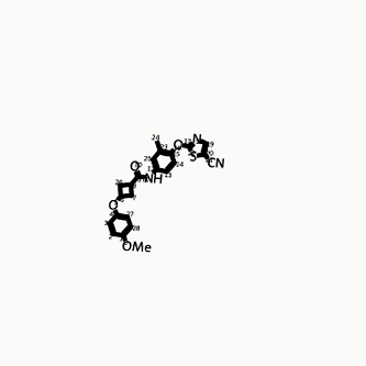 COc1ccc(OC2CC(C(=O)Nc3ccc(Oc4ncc(C#N)s4)c(C)c3)C2)cc1